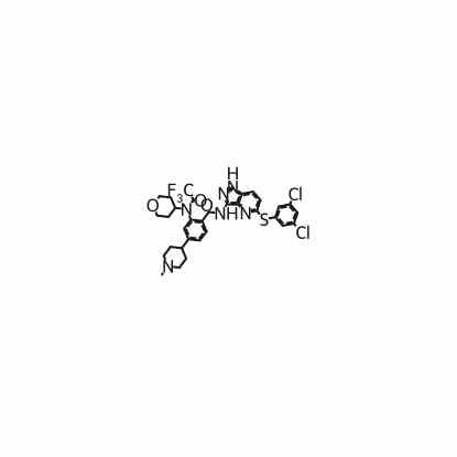 CN1CCC(c2ccc(C(=O)Nc3n[nH]c4ccc(Sc5cc(Cl)cc(Cl)c5)nc34)c(N(C(=O)C(F)(F)F)C3CCOCC3)c2)CC1